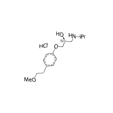 COCCc1ccc(OC[C@@H](O)CNC(C)C)cc1.Cl